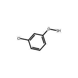 SOc1cccc(Cl)c1